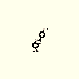 CN(C)c1ccc2nc(-c3ccc(N=O)cc3)sc2c1